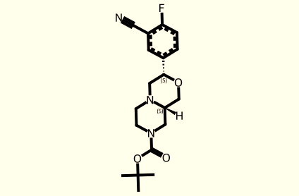 CC(C)(C)OC(=O)N1CCN2C[C@H](c3ccc(F)c(C#N)c3)OC[C@@H]2C1